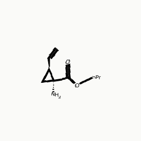 C=C[C@@H]1C[C@]1(N)C(=O)OCCC